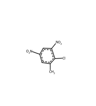 Cc1[c]c([N+](=O)[O-])cc([N+](=O)[O-])c1Cl